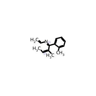 C=C/N=C(\C(C)=C/C)c1ccccc1C